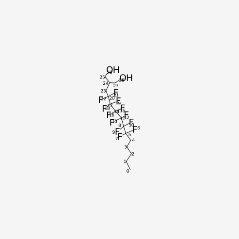 CCCCCC(F)(F)C(F)(F)C(F)(F)C(F)(F)C(F)(F)C(F)(F)CC(CO)CO